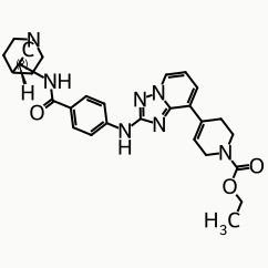 CCOC(=O)N1CC=C(c2cccn3nc(Nc4ccc(C(=O)N[C@H]5CN6CCC5CC6)cc4)nc23)CC1